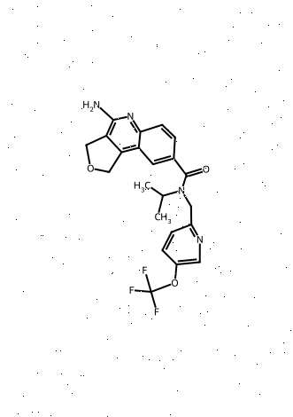 CC(C)N(Cc1ccc(OC(F)(F)F)cn1)C(=O)c1ccc2nc(N)c3c(c2c1)COC3